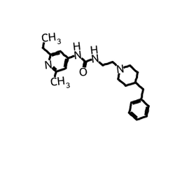 CCc1cc(NC(=O)NCCN2CCC(Cc3ccccc3)CC2)cc(C)n1